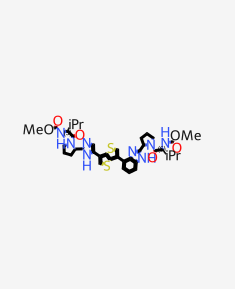 COC(=O)N[C@H](C(=O)N1CCCC1c1ncc(-c2csc3c(-c4cccc5[nH]c(C6CCCN6C(=O)[C@@H](NC(=O)OC)C(C)C)nc45)csc23)[nH]1)C(C)C